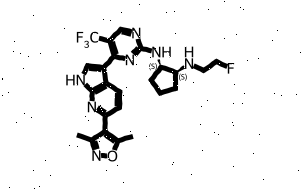 Cc1noc(C)c1-c1ccc2c(-c3nc(N[C@H]4CCC[C@@H]4NCCF)ncc3C(F)(F)F)c[nH]c2n1